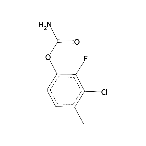 Cc1ccc(OC(N)=O)c(F)c1Cl